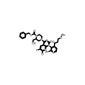 CC(C)c1nccc(C(=O)CCOC(C)(C)C)c1-n1c(=O)nc(N2CCN(C(=O)OCc3ccccc3)C(CC#N)C2)c2cc(F)c(Cl)nc21